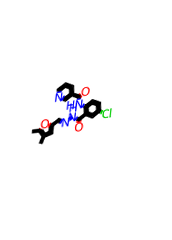 Cc1cc(C=NNC(=O)c2cc(Cl)ccc2NC(=O)c2cccnc2)oc1C